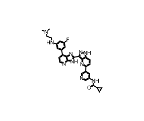 CN(C)CCNc1cc(F)cc(-c2ccnc3[nH]c(-c4n[nH]c5ccc(-c6cncc(NC(=O)C7CC7)c6)nc45)nc23)c1